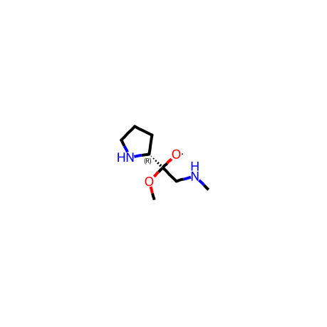 CNCC([O])(OC)[C@H]1CCCN1